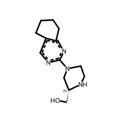 OC[C@@H]1CN(c2ncc3c(n2)CCCC3)CCN1